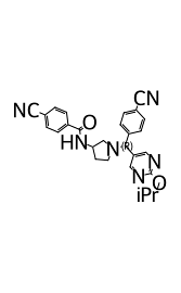 CC(C)Oc1ncc([C@@H](c2ccc(C#N)cc2)N2CCC(NC(=O)c3ccc(C#N)cc3)C2)cn1